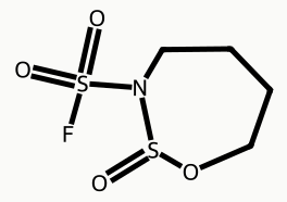 O=S1OCCCCN1S(=O)(=O)F